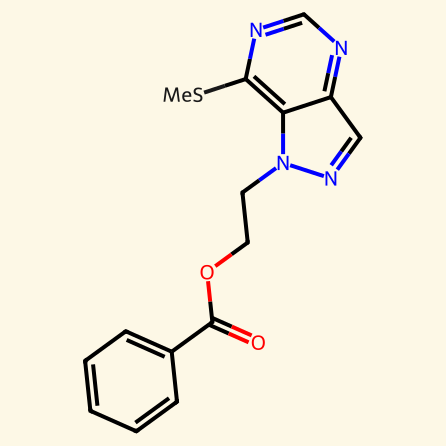 CSc1ncnc2cnn(CCOC(=O)c3ccccc3)c12